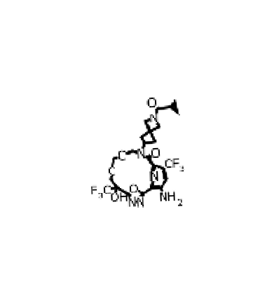 Nc1cc(C(F)(F)F)c2nc1-c1nnc(o1)C(O)(C(F)(F)F)CCCCCN(C1CC3(C1)CN(C(=O)C1CC1)C3)C2=O